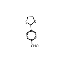 O=Cc1ccc(C2SCCS2)cc1